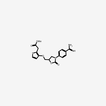 COC(=O)Cc1sccc1OCC1CN(c2ccc(C(=N)N)cc2)C(=O)O1